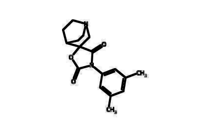 Cc1cc(C)cc(N2C(=O)OC3(CN4CCC3CC4)C2=O)c1